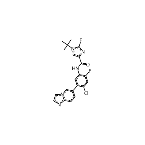 CC(C)(C)n1cc(C(=O)Nc2cc(-c3ccc4nccn4c3)c(Cl)cc2F)nc1F